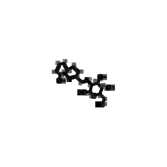 OCC1OC(O)[C@@H](/N=C/c2ccc3cccc(O)c3n2)C(O)[C@@H]1O